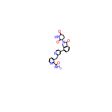 NC(=O)c1ncccc1Cc1cc(-c2cccc3c2CN(C2CCC(=O)NC2=O)C3=O)ccn1